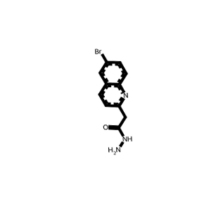 NNC(=O)Cc1ccc2cc(Br)ccc2n1